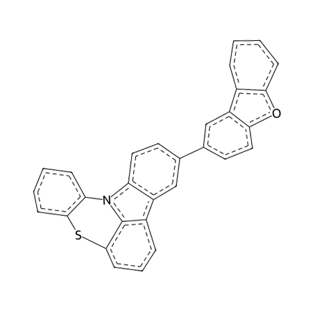 c1ccc2c(c1)Sc1cccc3c4cc(-c5ccc6oc7ccccc7c6c5)ccc4n-2c13